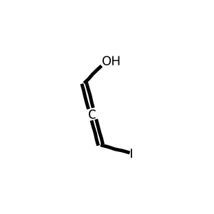 OC=C=CI